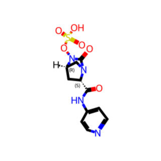 O=C(Nc1ccncc1)[C@@H]1C[C@@H]2CN1C(=O)N2OS(=O)(=O)O